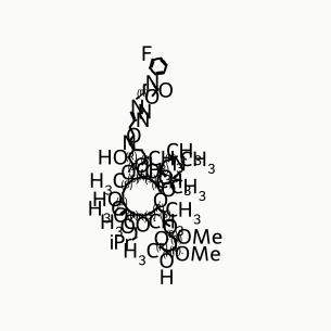 CO[C@@H]1[C@H](O)[C@@H](C)O[C@@H](OC[C@H](C)[C@H]2OC(=O)[C@H](C)[C@@H](O[C@H]3C[C@@H](C)N(C)C[C@H](C)O3)[C@H](C)[C@@H](O[C@@H]3O[C@H](C)CC(=NOCc4cn(C[C@H]5CN(c6cccc(F)c6)C(=O)O5)nn4)[C@H]3O)[C@@H](C)C[C@](C)(O)C(=O)[C@H](C)[C@H](OC(=O)CC(C)C)[C@H]2C)[C@@H]1OC